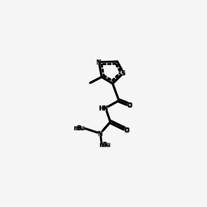 CCCCN(CCCC)C(=O)NC(=O)c1scnc1C